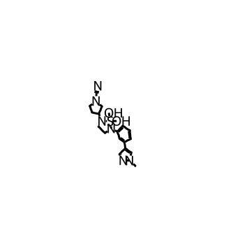 Cn1cc(-c2cccc(N3CCN(C4CCN(C#N)C4)S3(O)O)c2)cn1